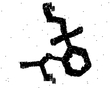 C=CCS(=O)(=O)c1ccccc1OC(N)CC